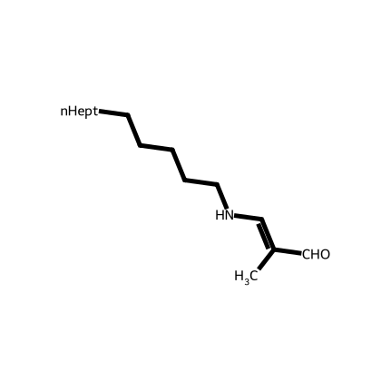 CCCCCCCCCCCCNC=C(C)C=O